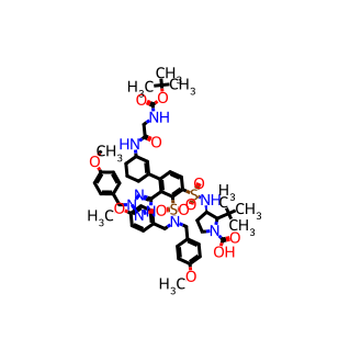 COc1ccc(CN(Cc2ccc(OC)cc2)S(=O)(=O)c2c(S(=O)(=O)N[C@@H]3CCN(C(=O)O)C3C(C)(C)C)ccc(C3=CC(NC(=O)CNC(=O)OC(C)(C)C)CCC3)c2-c2nnn(Cc3ccc(OC)cc3)n2)cc1